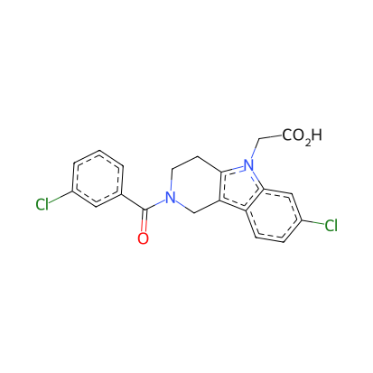 O=C(O)Cn1c2c(c3ccc(Cl)cc31)CN(C(=O)c1cccc(Cl)c1)CC2